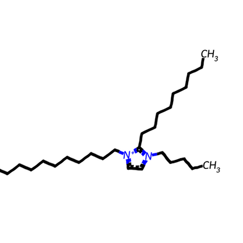 CCCCCCCCCCCC[n+]1ccn(CCCCC)c1CCCCCCCCC